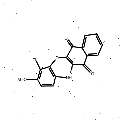 COc1ccc(N)c(OC2=C(Cl)C(=O)c3ccccc3C2=O)c1Cl